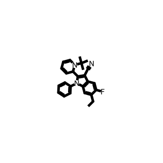 CCc1cc2c(cc1F)c(C#N)c(C1C=CC=CN1C(C)(C)C)n2-c1ccccc1